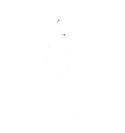 NC(=O)c1cccc2c1CC[C@H]2Nc1nc(Cl)nc2c1ncn2[C@@H]1SC[C@@H](O)[C@H]1O